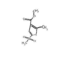 COC(=O)c1cc(S(C)(=O)=O)sc1C